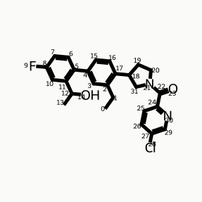 CCc1cc(-c2ccc(F)cc2C(C)O)ccc1C1CCN(C(=O)c2ccc(Cl)cn2)C1